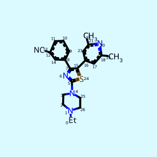 CCN1CCN(c2nc(-c3cccc(C#N)c3)c(-c3cc(C)nc(C)c3)s2)CC1